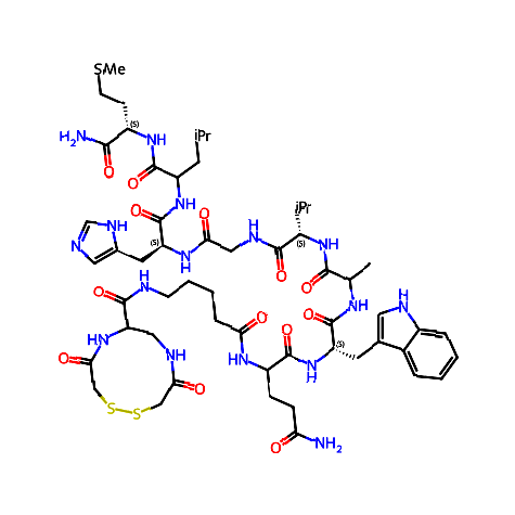 CSCC[C@H](NC(=O)C(CC(C)C)NC(=O)[C@H](Cc1cnc[nH]1)NC(=O)CNC(=O)[C@@H](NC(=O)C(C)NC(=O)[C@H](Cc1c[nH]c2ccccc12)NC(=O)C(CCC(N)=O)NC(=O)CCCCNC(=O)C1CNC(=O)CSSCC(=O)N1)C(C)C)C(N)=O